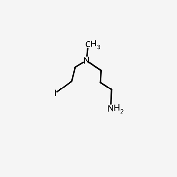 CN(CCI)CCCN